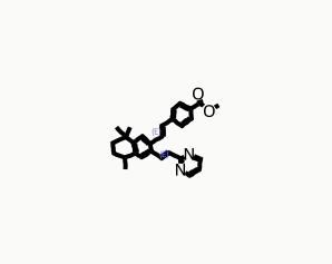 COC(=O)c1ccc(/C=C/c2cc3c(cc2/C=C/c2ncccn2)C(C)CCC3(C)C)cc1